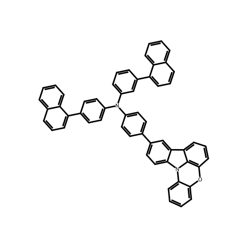 c1cc(-c2cccc3ccccc23)cc(N(c2ccc(-c3ccc4c(c3)c3cccc5c3n4-c3ccccc3O5)cc2)c2ccc(-c3cccc4ccccc34)cc2)c1